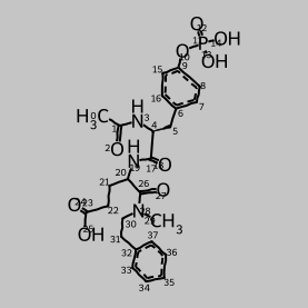 CC(=O)N[C@@H](Cc1ccc(OP(=O)(O)O)cc1)C(=O)NC(CCC(=O)O)C(=O)N(C)CCc1ccccc1